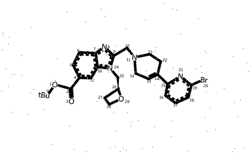 CC(C)(C)OC(=O)c1ccc2nc(CN3CC=C(c4cccc(Br)n4)CC3)n(C[C@@H]3CCO3)c2c1